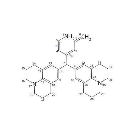 C=C/C=C(\C=C/N)C(c1cc2c3c(c1)CCCN3CCC2)c1cc2c3c(c1)CCCN3CCC2